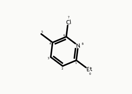 CCc1ccc(C)c(Cl)n1